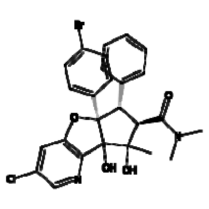 CN(C)C(=O)[C@@H]1[C@@H](c2ccccc2)[C@]2(c3ccc(Br)cc3)Oc3cc(Cl)cnc3C2(O)C1(C)O